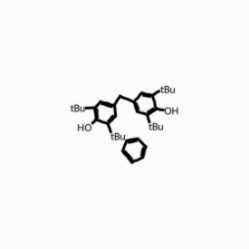 CC(C)(C)c1cc(Cc2cc(C(C)(C)C)c(O)c(C(C)(C)C)c2)cc(C(C)(C)C)c1O.c1ccccc1